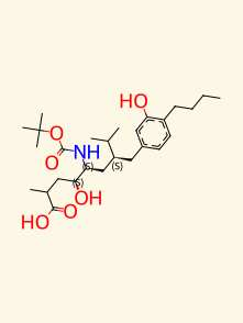 CCCCc1ccc(C[C@@H](C[C@H](NC(=O)OC(C)(C)C)[C@@H](O)CC(C)C(=O)O)C(C)C)cc1O